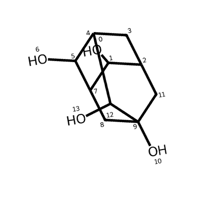 OC1C2CC3C(O)C1CC(O)(C2)C3O